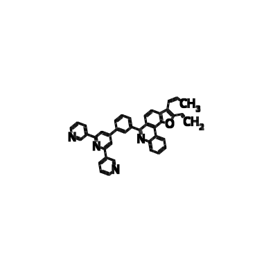 C=Cc1oc2c(ccc3c(-c4cccc(-c5cc(-c6cccnc6)nc(-c6cccnc6)c5)c4)nc4ccccc4c32)c1/C=C\C